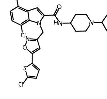 CC(C)N1CCC(NC(=O)c2cc3c(Cl)ccc(Cl)c3n2Cc2cc(-c3ccc(Cl)s3)on2)CC1